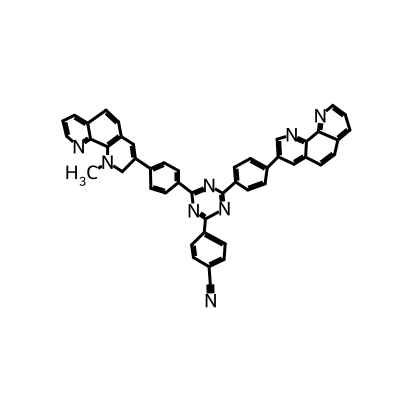 CN1CC(c2ccc(-c3nc(-c4ccc(C#N)cc4)nc(-c4ccc(-c5cnc6c(ccc7cccnc76)c5)cc4)n3)cc2)=Cc2ccc3cccnc3c21